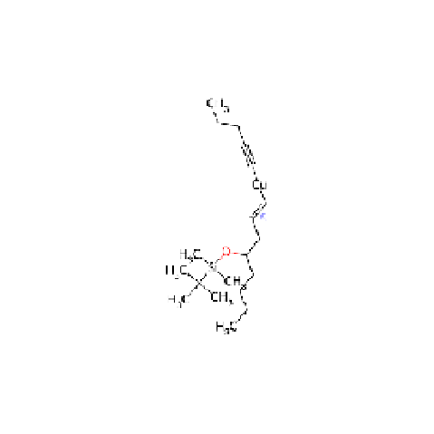 CCCC#[C][Cu]/[CH]=C/CC(CCCC)O[Si](C)(C)C(C)(C)C